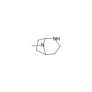 CN1C2CCNC1CC2